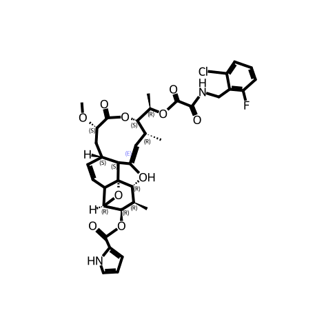 CO[C@H]1C[C@H]2C=CC3C4[C@H](O)[C@@H](C)[C@@H](OC(=O)c5ccc[nH]5)[C@@H]3O[C@]42/C(C)=C/[C@@H](C)[C@@H]([C@@H](C)OC(=O)C(=O)NCc2c(F)cccc2Cl)OC1=O